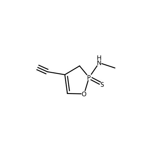 C#CC1=COP(=S)(NC)C1